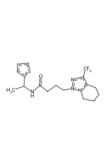 CC(NC(=O)CCCn1nc(C(F)(F)F)c2c1CCCC2)c1cccs1